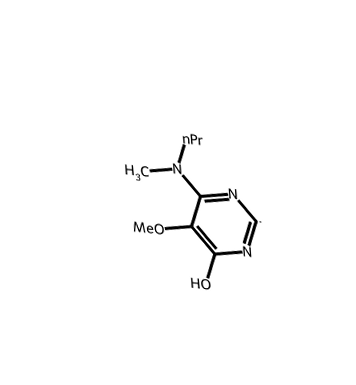 CCCN(C)c1n[c]nc(O)c1OC